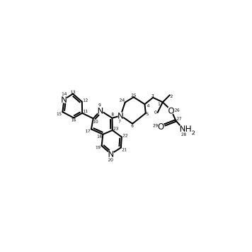 CC(C)(CC1CCN(c2nc(-c3ccncc3)cc3cnccc23)CC1)OC(N)=O